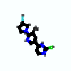 N#Cc1cc(-c2ccnc(Cl)n2)cnc1N1CCC(F)C1